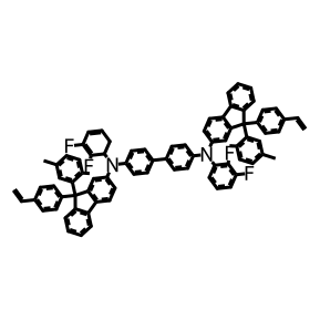 C=Cc1ccc(C2(c3cc(C)ccc3C)c3ccccc3-c3ccc(N(c4ccc(-c5ccc(N(c6ccc7c(c6)C(c6ccc(C=C)cc6)(c6cc(C)ccc6C)c6ccccc6-7)C6CC=CC(F)=C6F)cc5)cc4)c4cccc(F)c4F)cc32)cc1